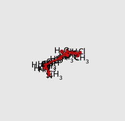 C/C=S(/NC(=O)c1ccc(N2CCN(CC3=C(c4ccc(Cl)cc4)CCC(C)(C)C3)CC2)cc1)c1ccc(N[C@H](CCN2CCN(C(=O)NCCOCCOCCNC(=O)CCC(=O)N[C@H](C(=O)N3C[C@H](O)C[C@H]3C(=O)NCc3ccc(-c4scnc4C)cc3)C(C)(C)C)CC2)CSc2ccccc2)c(S(=O)(=O)C(F)(F)F)c1